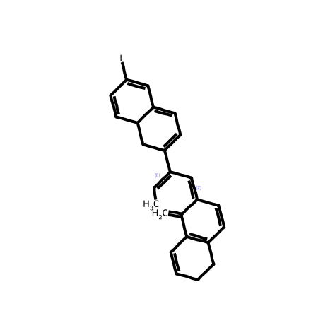 C=c1c2c(cc/c1=C/C(=C\C)C1=CC=C3C=C(I)C=CC3C1)CCC=C2